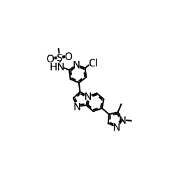 Cc1c(-c2ccn3c(-c4cc(Cl)nc(NS(C)(=O)=O)c4)cnc3c2)cnn1C